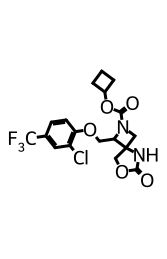 O=C1NC2(CO1)CN(C(=O)OC1CCC1)C2COc1ccc(C(F)(F)F)cc1Cl